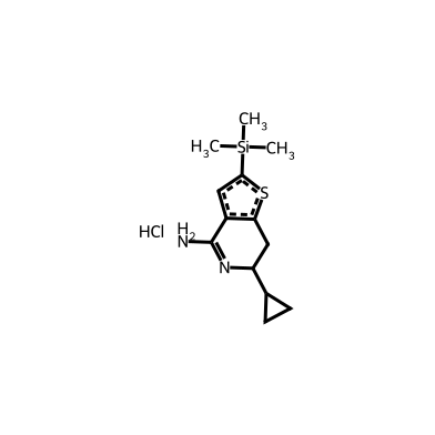 C[Si](C)(C)c1cc2c(s1)CC(C1CC1)N=C2N.Cl